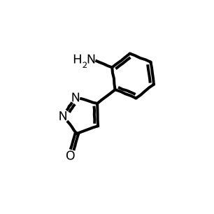 Nc1ccccc1C1=CC(=O)N=N1